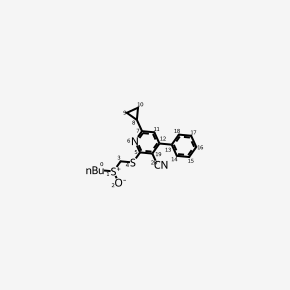 CCCC[S+]([O-])CSc1nc(C2CC2)cc(-c2ccccc2)c1C#N